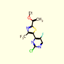 C=C(OCC)c1nc(C(F)(F)F)c(-c2nc(Cl)ncc2F)s1